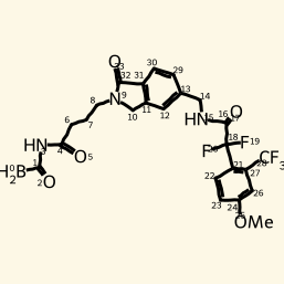 BC(=O)NC(=O)CCCN1Cc2cc(CNC(=O)C(F)(F)c3ccc(OC)cc3C(F)(F)F)ccc2C1=O